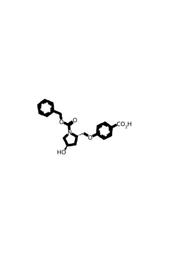 O=C(O)c1ccc(OC[C@@H]2C[C@@H](O)CN2C(=O)OCc2ccccc2)cc1